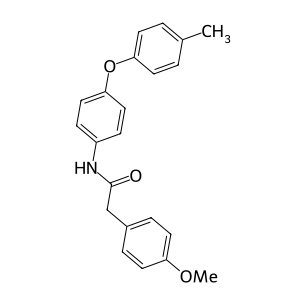 COc1ccc(CC(=O)Nc2ccc(Oc3ccc(C)cc3)cc2)cc1